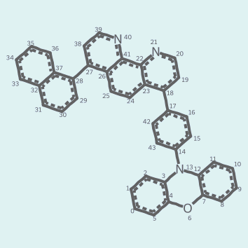 c1ccc2c(c1)Oc1ccccc1N2c1ccc(-c2ccnc3c2ccc2c(-c4cccc5ccccc45)ccnc23)cc1